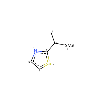 [CH2]C(SC)c1nccs1